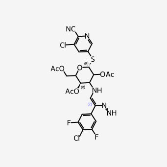 CC(=O)OCC1O[C@H](Sc2cnc(C#N)c(Cl)c2)C(OC(C)=O)C(N/C=C(\N=N)c2cc(F)c(Cl)c(F)c2)[C@H]1OC(C)=O